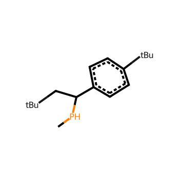 CPC(CC(C)(C)C)c1ccc(C(C)(C)C)cc1